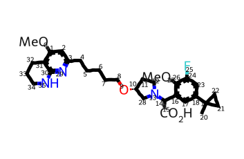 COc1cc(CCCCCO[C@@H]2CCN(C(C(=O)O)c3cc(C4(C)CC4)cc(F)c3OC)C2)nc2c1CCCN2